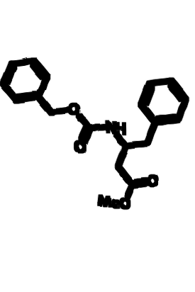 COC(=O)CC(Cc1ccccc1)NC(=O)OCc1ccccc1